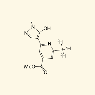 [2H]C([2H])([2H])c1cc(C(=O)OC)cc(-c2cnn(C)c2O)n1